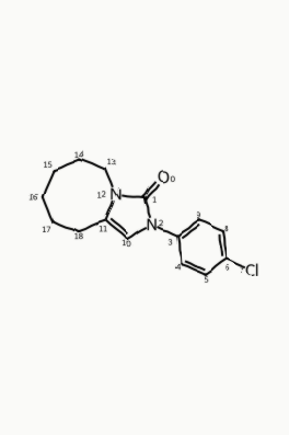 O=c1n(-c2ccc(Cl)cc2)cc2n1CCCCCC2